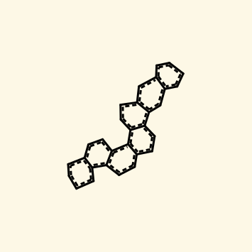 c1ccc2cc3c(ccc4c3ccc3ccc5c6ccccc6ccc5c34)cc2c1